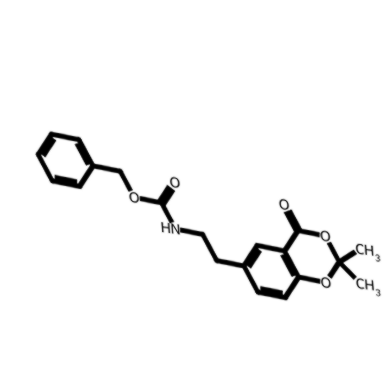 CC1(C)OC(=O)c2cc(CCNC(=O)OCc3ccccc3)ccc2O1